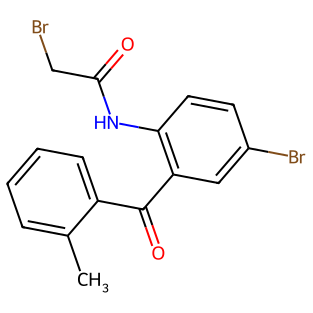 Cc1ccccc1C(=O)c1cc(Br)ccc1NC(=O)CBr